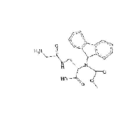 COC(=O)N(C1c2ccccc2-c2ccccc21)[C@@H](CNC(=O)CN)C(=O)O